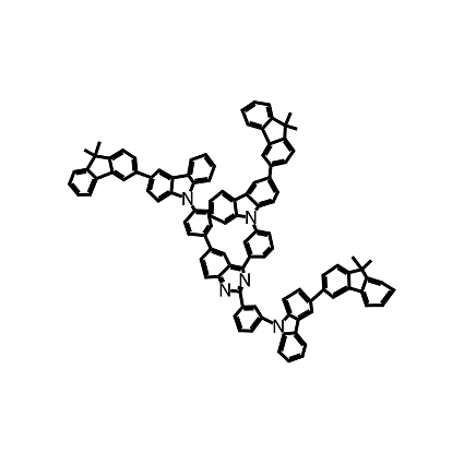 CC1(C)c2ccccc2-c2cc(-c3ccc4c(c3)c3ccccc3n4-c3ccc(-c4ccc5nc(-c6cccc(-n7c8ccccc8c8cc(-c9ccc%10c(c9)-c9ccccc9C%10(C)C)ccc87)c6)nc(-c6cccc(-n7c8ccccc8c8cc(-c9ccc%10c(c9)-c9ccccc9C%10(C)C)ccc87)c6)c5c4)cc3)ccc21